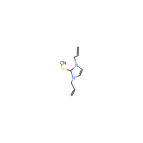 C=CCN1C=CN(CC=C)C1SC#N